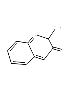 N#CC1N=c2ccccc2=CC1=O